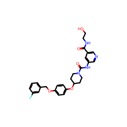 O=C(NCCO)c1cncc(NC(=O)N2CCC(Oc3ccc(OCc4cccc(F)c4)cc3)CC2)c1